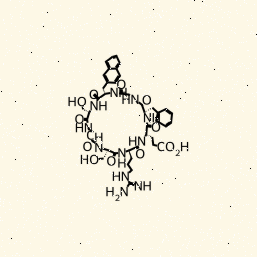 N=C(N)NCCC[C@H]1NC(=O)[C@H](CO)NC(=O)CNC(=O)[C@H](CO)NC(=O)[C@H](Cc2ccc3ccccc3c2)NC(=O)CNC(=O)[C@H](Cc2ccccc2)NC(=O)[C@H](CCC(=O)O)NC1=O